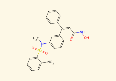 CN(c1cccc(/C(=C\C(=O)NO)c2ccccc2)c1)S(=O)(=O)c1ccccc1[N+](=O)[O-]